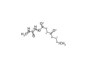 CCCCC(=O)CCC(=O)ONC(=O)NC